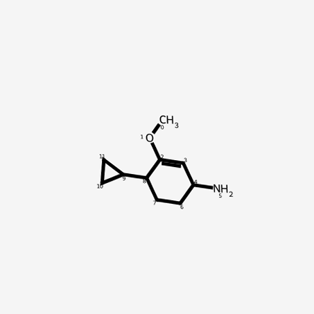 COC1=CC(N)CCC1C1CC1